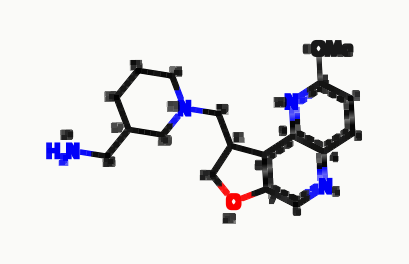 COc1ccc2ncc3c(c2n1)C(CN1CCCC(CN)C1)CO3